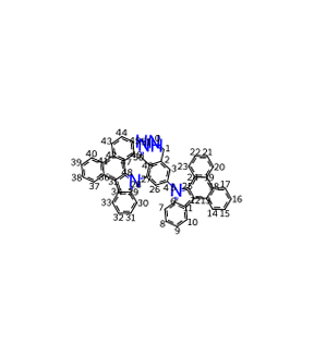 N=Cc1cc(-n2c3ccccc3c3c4ccccc4c4ccccc4c32)cc(-n2c3ccccc3c3c4ccccc4c4ccccc4c32)c1C=N